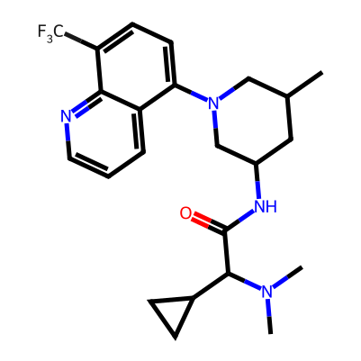 CC1CC(NC(=O)C(C2CC2)N(C)C)CN(c2ccc(C(F)(F)F)c3ncccc23)C1